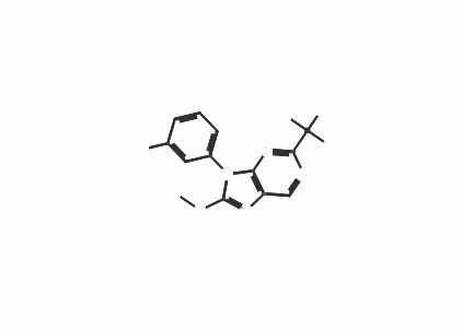 CNc1nc2cnc(C(F)(F)F)nc2n1-c1cccc(O)c1